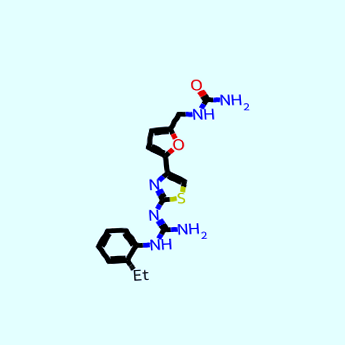 CCc1ccccc1NC(N)=Nc1nc(-c2ccc(CNC(N)=O)o2)cs1